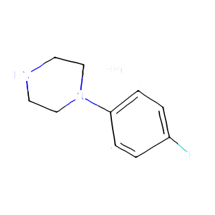 Br.Fc1ccc(N2CCNCC2)cc1